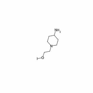 NC1CCN(CCOI)CC1